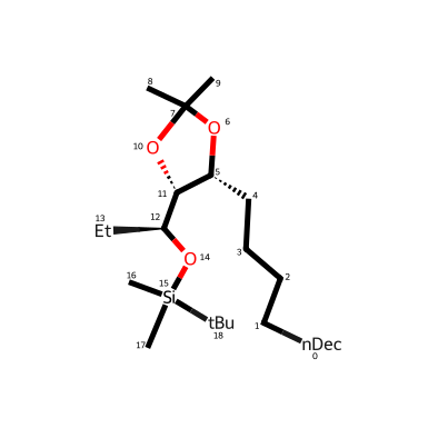 CCCCCCCCCCCCCC[C@H]1OC(C)(C)O[C@H]1[C@H](CC)O[Si](C)(C)C(C)(C)C